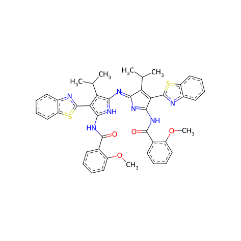 COc1ccccc1C(=O)NC1=N/C(=N\c2[nH]c(NC(=O)c3ccccc3OC)c(-c3nc4ccccc4s3)c2C(C)C)C(C(C)C)=C1c1nc2ccccc2s1